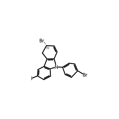 Brc1ccc(-n2c3c(c4cc(I)ccc42)C[C@H](Br)C=C3)cc1